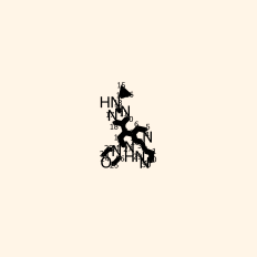 c1cc(-c2nccc3c(-c4cnc(NC5CC5)nc4)cc(N4CCOCC4)nc23)[nH]n1